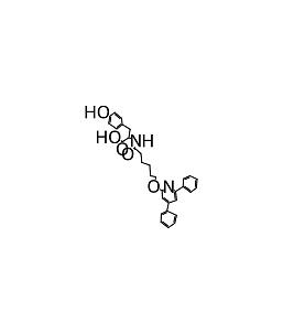 O=C(CCCCCOc1cc(-c2ccccc2)cc(-c2ccccc2)n1)NC(Cc1ccc(O)cc1)C(=O)O